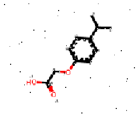 CC(C)c1c[c]c(OCC(=O)O)cc1